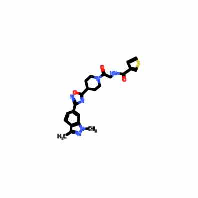 Cc1nn(C)c2cc(-c3noc(C4CCN(C(=O)CNC(=O)c5ccsc5)CC4)n3)ccc12